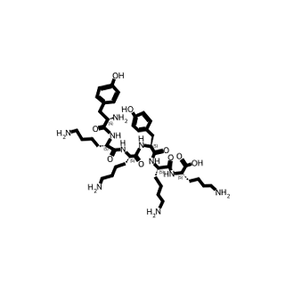 NCCCC[C@H](NC(=O)[C@H](CCCCN)NC(=O)[C@H](Cc1ccc(O)cc1)NC(=O)[C@H](CCCCN)NC(=O)[C@H](CCCCN)NC(=O)[C@@H](N)Cc1ccc(O)cc1)C(=O)O